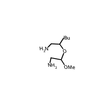 CCC(C)C(CN)OC(CN)OC